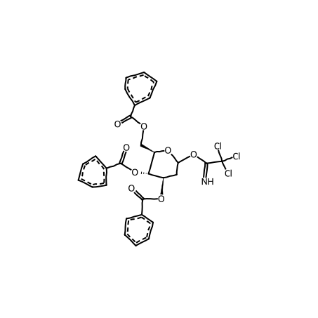 N=C(OC1C[C@@H](OC(=O)c2ccccc2)[C@H](OC(=O)c2ccccc2)[C@@H](COC(=O)c2ccccc2)O1)C(Cl)(Cl)Cl